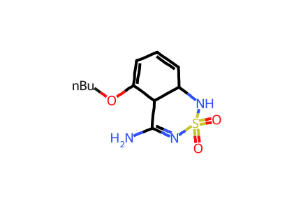 CCCCOC1=CC=CC2NS(=O)(=O)N=C(N)C12